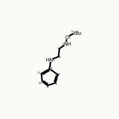 CC(C)(C)ONCCNc1[c]cccc1